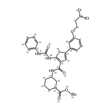 CCN(CC)CCOc1cccc(-c2cc(C(=O)NC3CCCN(C(=O)OC(C)(C)C)C3)c(NC(=O)Nc3cnccn3)s2)c1